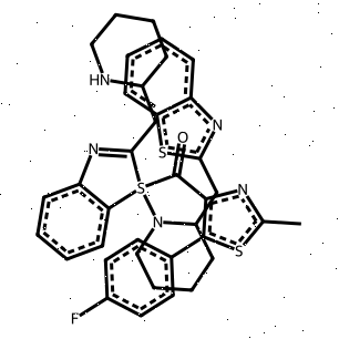 Cc1nc(C(=O)S2(N3CCCCC3Cc3nc4ccccc4s3)C(CC3CCCCN3)=Nc3ccccc32)c(-c2ccc(F)cc2)s1